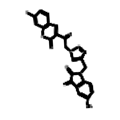 Cc1ccc2c(c1)C(=O)C(=O)N2Cc1cn(CC(=O)c2cc3ccc(F)cc3oc2=O)nn1